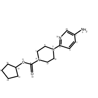 Nc1ccc(N2CCN(C(=O)OC3CCCC3)CC2)nc1